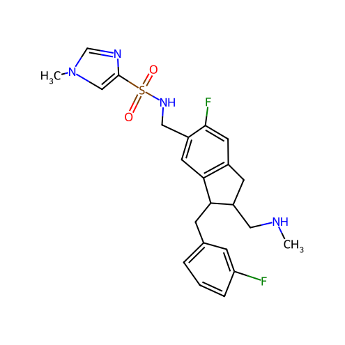 CNCC1Cc2cc(F)c(CNS(=O)(=O)c3cn(C)cn3)cc2C1Cc1cccc(F)c1